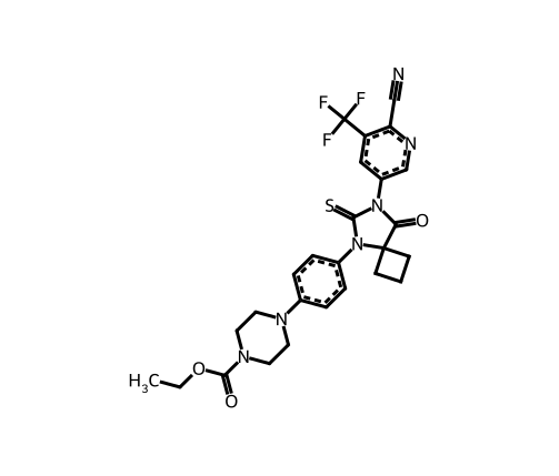 CCOC(=O)N1CCN(c2ccc(N3C(=S)N(c4cnc(C#N)c(C(F)(F)F)c4)C(=O)C34CCC4)cc2)CC1